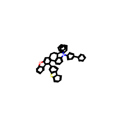 C1=CC2Sc3cc(-c4c5c(cc6oc7ccccc7c46)CCC(c4ccccc4)c4c-5cccc4N(c4ccccc4)c4ccc(-c5ccccc5)cc4)ccc3C2C=C1